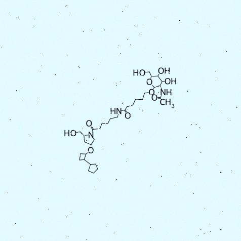 CC(=O)NC1C(OCCCCCC(=O)NCCCCCC(=O)N2C[C@H](OC3CCC3C3CCCC3)C[C@H]2CO)OC(CO)C(O)C1O